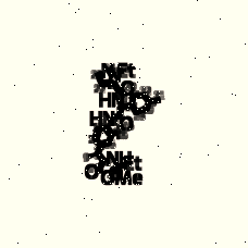 CCC(=O)N[C@@H](C(=O)OC)[C@@H](C)c1ccc(NC(=O)[C@@H](NC(=O)c2ccnn2CC)C2CCC(C)CC2)c(F)c1